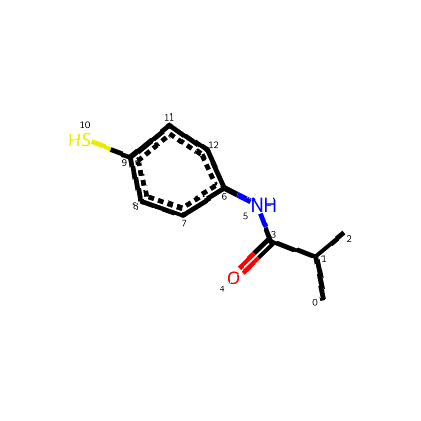 CC(C)C(=O)Nc1ccc(S)cc1